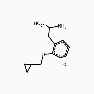 Cl.NC(Cc1ccccc1OCC1CC1)C(=O)O